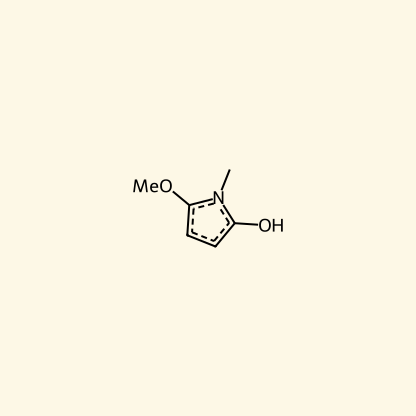 COc1ccc(O)n1C